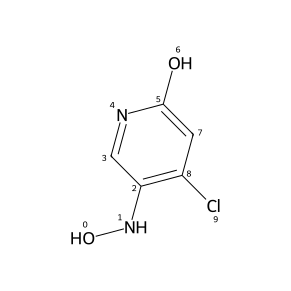 ONc1cnc(O)cc1Cl